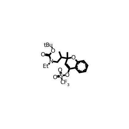 CCN(CC(C)C1(C)C=C(OS(=O)(=O)C(F)(F)F)c2ccccc2O1)C(=O)OC(C)(C)C